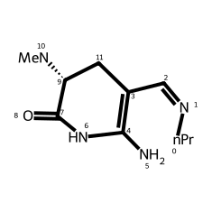 CCC/N=C\C1=C(N)NC(=O)[C@H](NC)C1